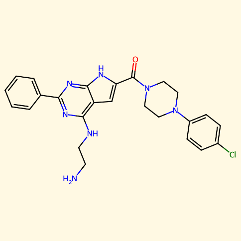 NCCNc1nc(-c2ccccc2)nc2[nH]c(C(=O)N3CCN(c4ccc(Cl)cc4)CC3)cc12